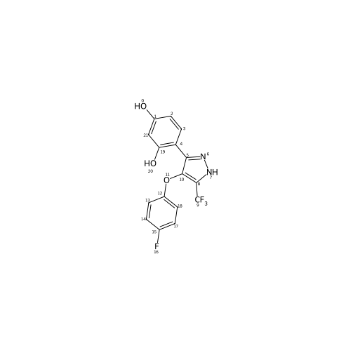 Oc1ccc(-c2n[nH]c(C(F)(F)F)c2Oc2ccc(F)cc2)c(O)c1